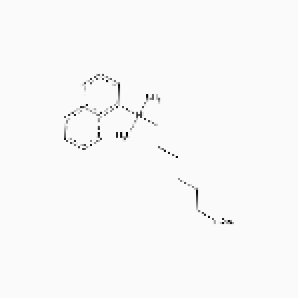 CCCCCCCCCCCCCCCC[N+](C)(C)c1cccc2ccccc12